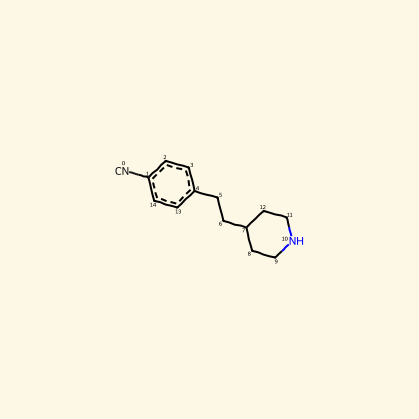 [C-]#[N+]c1ccc(CCC2CCNCC2)cc1